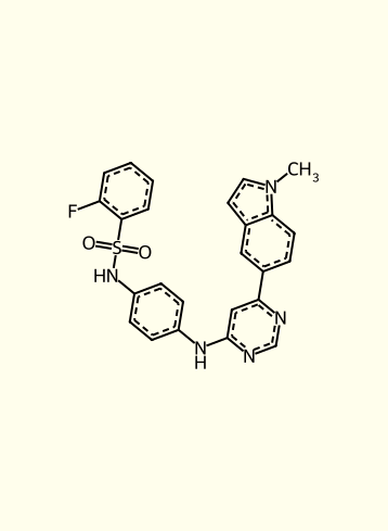 Cn1ccc2cc(-c3cc(Nc4ccc(NS(=O)(=O)c5ccccc5F)cc4)ncn3)ccc21